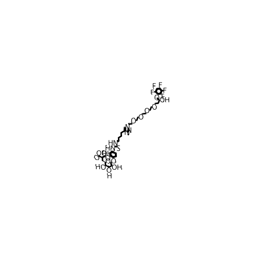 O=C(O)C(C[C@H]1O[C@H](Oc2ccc(NC(=S)NCCCCc3cn(CCOCCOCCOCCOCCC(O)Oc4c(F)c(F)c(F)c(F)c4F)nn3)cc2)[C@@H](O)[C@@H](O)[C@@H]1O)C(=O)O